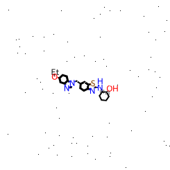 CCOc1ccc2c(c1)ncn2Cc1ccc2nc(N[C@@H]3CCCC[C@H]3O)sc2c1